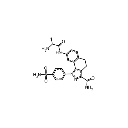 C[C@H](N)C(=O)Nc1ccc2c(c1)-c1c(c(C(N)=O)nn1-c1ccc(S(N)(=O)=O)cc1)CC2